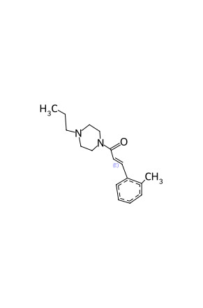 CCCN1CCN(C(=O)/C=C/c2ccccc2C)CC1